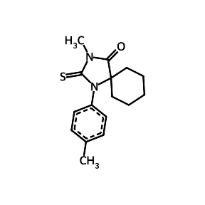 Cc1ccc(N2C(=S)N(C)C(=O)C23CCCCC3)cc1